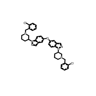 Clc1ccccc1CN1CCCC(n2ncc3cc(Oc4ccc5c(cnn5C5CCCN(Cc6ccccc6Cl)C5)c4)ccc32)C1